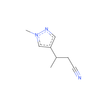 CC(CC#N)c1cnn(C)c1